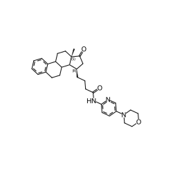 C[C@]12CCC3c4ccccc4CCC3C1[C@H](CCCC(=O)Nc1ccc(N3CCOCC3)cn1)CC2=O